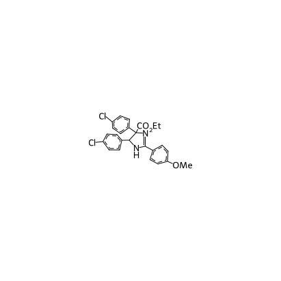 CCOC(=O)C1(c2ccc(Cl)cc2)N=C(c2ccc(OC)cc2)NC1c1ccc(Cl)cc1